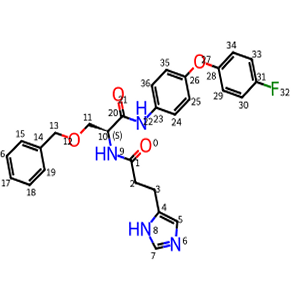 O=C(CCc1cnc[nH]1)N[C@@H](COCc1ccccc1)C(=O)Nc1ccc(Oc2ccc(F)cc2)cc1